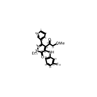 CCn1nc(-c2cccnc2)c(C(=O)COC)c(Nc2cccc(F)c2)c1=O